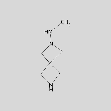 CNN1CC2(CNC2)C1